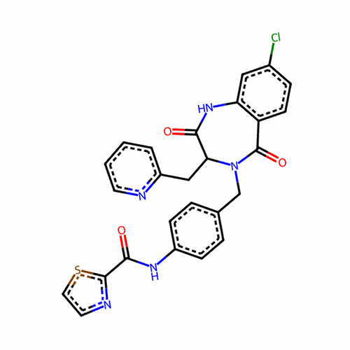 O=C(Nc1ccc(CN2C(=O)c3ccc(Cl)cc3NC(=O)C2Cc2ccccn2)cc1)c1nccs1